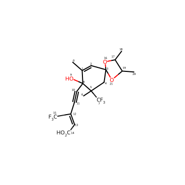 CC1=CC2(CC(C)(C(F)(F)F)C1(O)C#CC(=CC(=O)O)C(F)(F)F)OC(C)C(C)O2